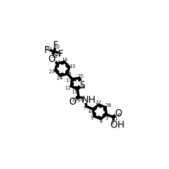 O=C(O)c1ccc(CNC(=O)c2cc(-c3ccc(OC(F)(F)F)cc3)cs2)cc1